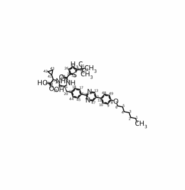 CCCCCCCOc1ccc(-c2cnc(-c3ccc(C[C@H](NC(=O)c4ccc(C(C)(C)C)s4)C(O)N[C@@H](C(=O)O)C4CC4)cc3)nc2)cc1